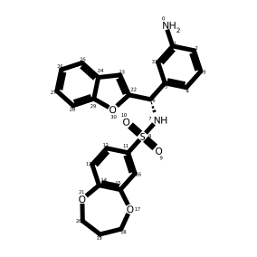 Nc1cccc([C@H](NS(=O)(=O)c2ccc3c(c2)OCCCO3)c2cc3ccccc3o2)c1